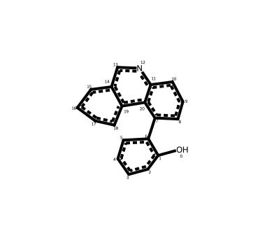 Oc1ccccc1-c1cccc2ncc3ccccc3c12